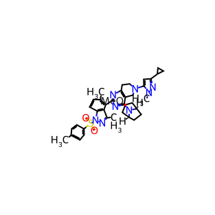 CO[C@H]1C[C@H]2CC[C@@H](C1)N2c1nc(-c2c(C)ccc3c2c(C)nn3S(=O)(=O)c2ccc(C)cc2)nc2c1CN(c1cc(C3CC3)nn1C)CC2